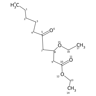 CCCCCC(=O)CC(CC(=O)OCC)OCC